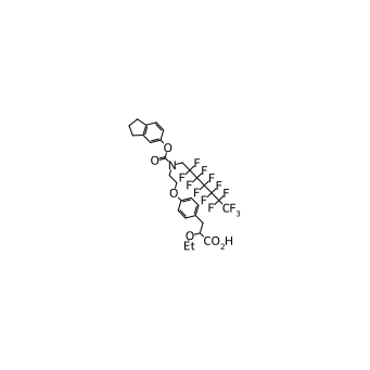 CCOC(Cc1ccc(OCCN(CC(F)(F)C(F)(F)C(F)(F)C(F)(F)C(F)(F)C(F)(F)F)C(=O)Oc2ccc3c(c2)CCC3)cc1)C(=O)O